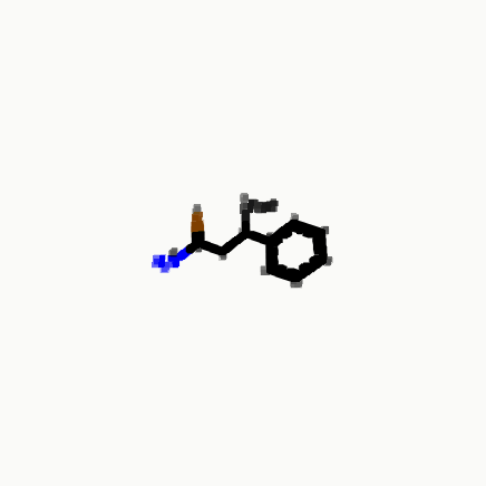 CCCCCC(CC(N)=S)c1ccccc1